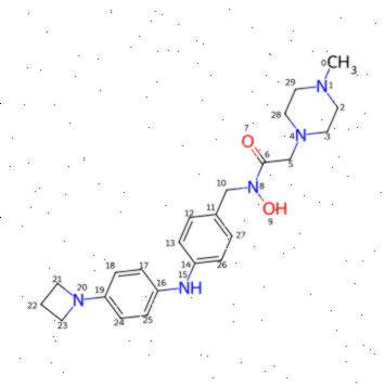 CN1CCN(CC(=O)N(O)Cc2ccc(Nc3ccc(N4CCC4)cc3)cc2)CC1